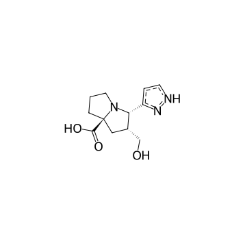 O=C(O)[C@@]12CCCN1[C@H](c1cc[nH]n1)[C@H](CO)C2